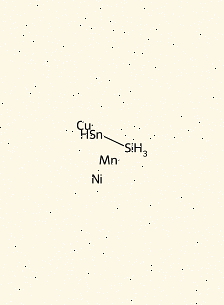 [Cu].[Mn].[Ni].[SiH3][SnH]